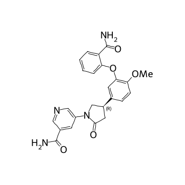 COc1ccc([C@H]2CC(=O)N(c3cncc(C(N)=O)c3)C2)cc1Oc1ccccc1C(N)=O